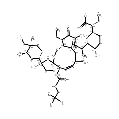 CC[C@@H](C(=O)[C@@H](C)[C@@H](O)[C@H](C)[C@@H]1O[C@@H]([C@@H](CC)C(=O)O)CC[C@@H]1C)[C@H]1OO[C@@]2(CC[C@@](C)([C@H]3CC[C@](O)(CC)[C@H](C)O3)O2)[C@H](NC(=O)OCC(Cl)(Cl)Cl)/C=C\[C@H](C)C[C@@H]1C